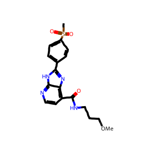 COCCCNC(=O)c1ccnc2[nH]c(-c3ccc(S(C)(=O)=O)cc3)nc12